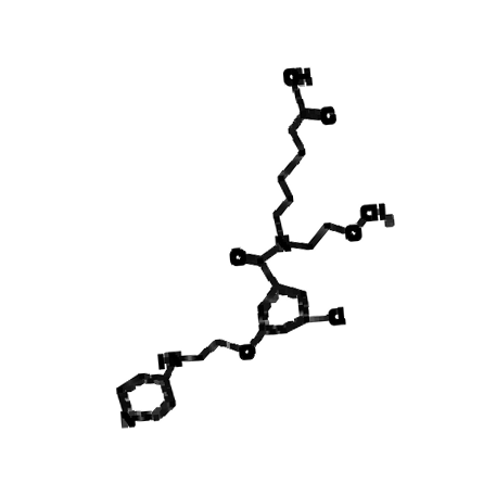 COCCN(CCCCCC(=O)O)C(=O)c1cc(Cl)cc(OCCNc2ccncc2)c1